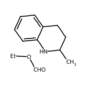 CC1CCc2ccccc2N1.CCOC=O